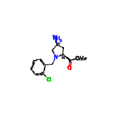 COC(=O)[C@@H]1C[C@H](N)CN1Cc1ccccc1Cl